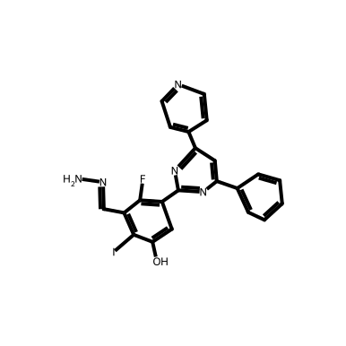 NN=Cc1c(F)c(-c2nc(-c3ccccc3)cc(-c3ccncc3)n2)cc(O)c1I